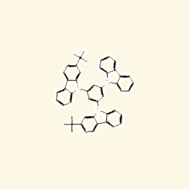 CC(C)(C)c1ccc2c3ccccc3n(-c3cc(-n4c5ccccc5c5ccccc54)cc(-n4c5ccccc5c5ccc(C(C)(C)C)cc54)c3)c2c1